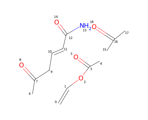 C=COC(C)=O.CC(=O)CC=CC(N)=O.CC(C)=O